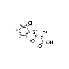 O=C(O)C(F)C(=O)Sc1ccccc1Cl